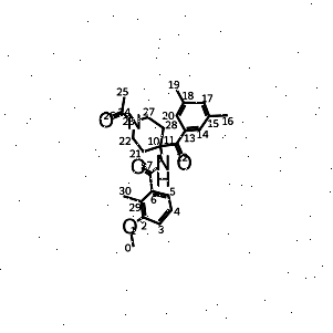 COc1cccc(C(=O)NC2(C(=O)c3cc(C)cc(C)c3)CCN(C(C)=O)CC2)c1C